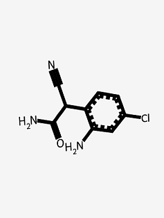 N#CC(C(N)=O)c1ccc(Cl)cc1N